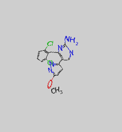 COc1ccc(-c2cnc(N)nc2-c2c(Cl)cccc2Cl)nn1